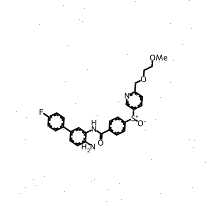 COCCOCc1ccc([S+]([O-])c2ccc(C(=O)Nc3cc(-c4ccc(F)cc4)ccc3N)cc2)cn1